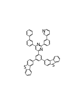 c1ccc(-c2cccc(-c3cc(-c4cc(-c5ccc6sc7ccccc7c6c5)cc(-c5ccc6sc7ccccc7c6c5)c4)nc(-c4cccc(-c5cccnc5)c4)n3)c2)cc1